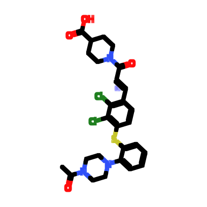 CC(=O)N1CCN(c2ccccc2Sc2ccc(/C=C/C(=O)N3CCC(C(=O)O)CC3)c(Cl)c2Cl)CC1